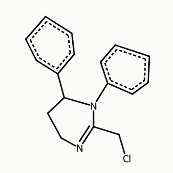 ClCC1=NCCC(c2ccccc2)N1c1ccccc1